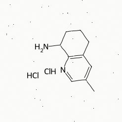 Cc1cnc2c(c1)CCCC2N.Cl.Cl